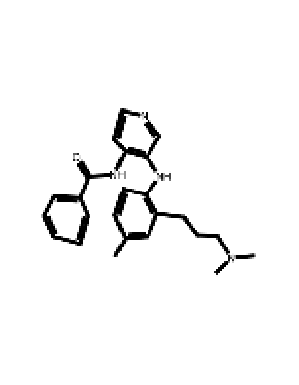 Cc1ccc(Nc2cnccc2NC(=O)c2ccccc2)c(CCCN(C)C)c1